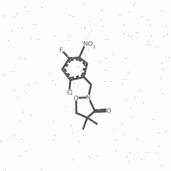 CC1(C)CON(Cc2cc([N+](=O)[O-])c(F)cc2Cl)C1=O